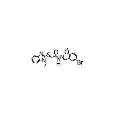 CCn1c(SCC(=O)N/N=C/c2cc(Br)ccc2OC)nc2ccccc21